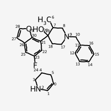 C1=CNCCC1.CC1CN(Cc2ccccc2)CCC1(O)c1cc(F)cc2ccoc12